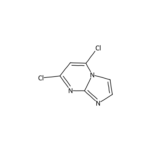 Clc1cc(Cl)n2ccnc2n1